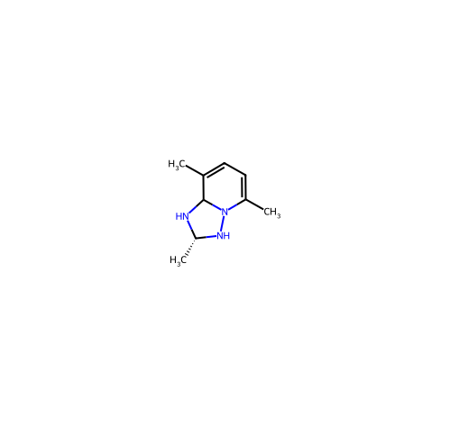 CC1=CC=C(C)N2N[C@H](C)NC12